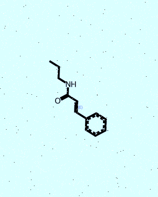 CCCNC(=O)/C=C/c1cc[c]cc1